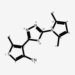 Cc1scc(C#N)c1-c1nnc(-n2c(C)ccc2C)s1